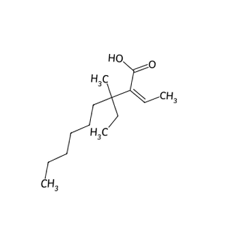 CC=C(C(=O)O)C(C)(CC)CCCCCC